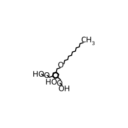 CCCCCCCCCCCCOCCc1cc(COCO)c(O)c(COCO)c1